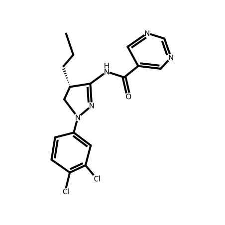 CCC[C@H]1CN(c2ccc(Cl)c(Cl)c2)N=C1NC(=O)c1cncnc1